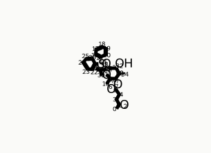 CC(=O)CCC(=O)O[C@@H]1C(C)O[C@@H](O[Si](c2ccccc2)(c2ccccc2)C(C)(C)C)C(O)[C@H]1C